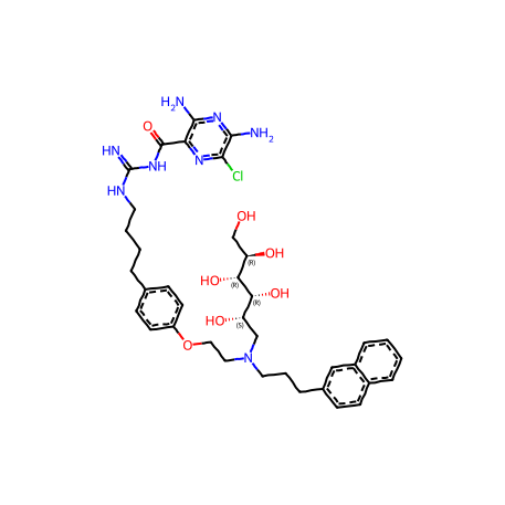 N=C(NCCCCc1ccc(OCCN(CCCc2ccc3ccccc3c2)C[C@H](O)[C@@H](O)[C@H](O)[C@H](O)CO)cc1)NC(=O)c1nc(Cl)c(N)nc1N